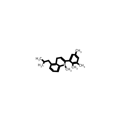 Cc1cc(C)c(C)c(C2=CCc3c(CC(C)C)cccc3N2C)c1